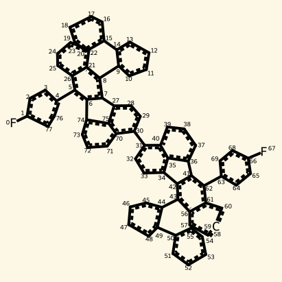 Fc1ccc(-c2c3c(c(-c4ccccc4-c4ccccc4)c4ccccc24)-c2ccc(-c4ccc5c6c(cccc46)-c4c-5c(-c5ccccc5-c5ccccc5)c5ccccc5c4-c4ccc(F)cc4)c4cccc-3c24)cc1